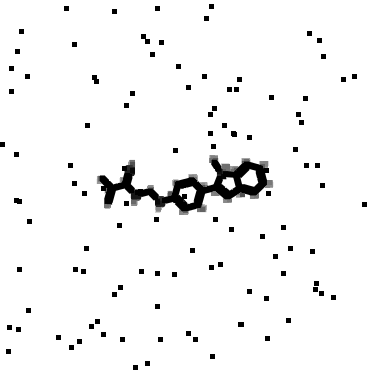 C=C(C)C(=O)OCOc1ccc(-c2cc3ccccc3n2C)cc1